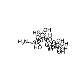 CC(C)C1OC(COC2OC(CO)C(O)C(OC3CN(CCCN)CC(CO)O3)C2O)C(O)C(OC2OC(CO)C(O)C(O)C2O)C1O